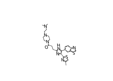 Cc1csc(-c2nc(CCC(=O)N3CCN(CCN(C)C)CC3)[nH]c2-c2ccc3ncsc3c2)n1